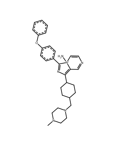 CN1CCN(CC2CCC(C3=C4C=NC=C[N+]4(N)C(c4ccc(Oc5ccccc5)cc4)=N3)CC2)CC1